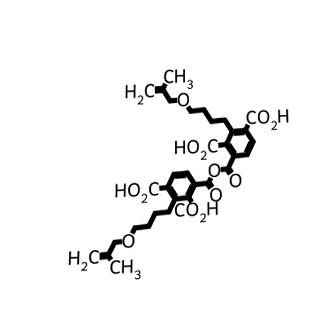 C=C(C)COCCCCc1c(C(=O)O)ccc(C(=O)OC(=O)c2ccc(C(=O)O)c(CCCCOCC(=C)C)c2C(=O)O)c1C(=O)O